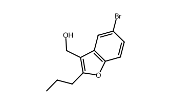 CCCc1oc2ccc(Br)cc2c1CO